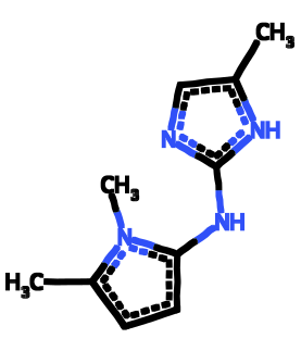 Cc1cnc(Nc2ccc(C)n2C)[nH]1